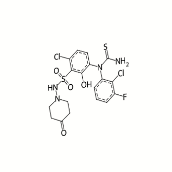 NC(=S)N(c1ccc(Cl)c(S(=O)(=O)NN2CCC(=O)CC2)c1O)c1cccc(F)c1Cl